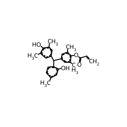 C=CC(=O)Oc1c(C)cc(C(c2cc(C)c(O)c(C)c2)c2ccc(C)cc2O)cc1C